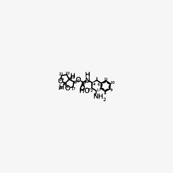 NC[C@H](O)[C@H](Cc1ccccc1)NC(=O)O[C@@H]1CO[C@@H]2OCC[C@@H]21